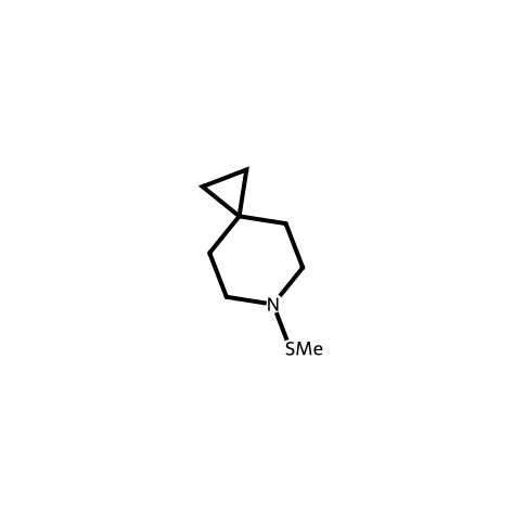 CSN1CCC2(CC1)CC2